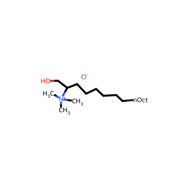 CCCCCCCCCCCCCCC(CO)[N+](C)(C)C.[Cl-]